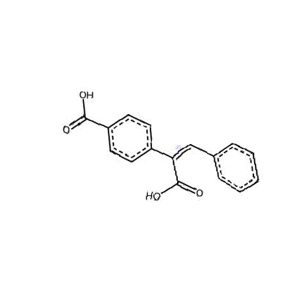 O=C(O)/C(=C\c1ccccc1)c1ccc(C(=O)O)cc1